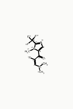 CN(C)/C=C(/F)C(=O)c1cnc(C(F)(F)F)n1C